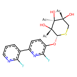 CC(=O)[C@]1(O)[C@@](O)(C(C)=O)CS[C@H](Oc2ccc(-c3cccnc3F)nc2F)[C@@]1(O)C(C)=O